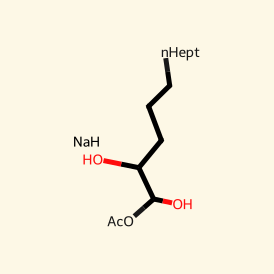 CCCCCCCCCCC(O)C(O)OC(C)=O.[NaH]